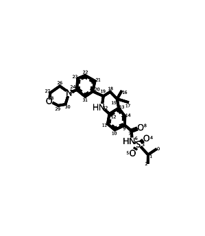 CC(C)S(=O)(=O)NC(=O)c1ccc2c(c1)C(C)(C)CC(c1cccc(N3CCOCC3)c1)N2